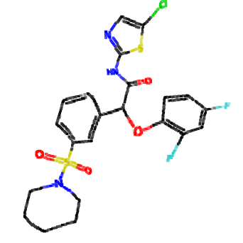 O=C(Nc1ncc(Cl)s1)C(Oc1ccc(F)cc1F)c1cccc(S(=O)(=O)N2CCCCC2)c1